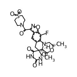 C[C@H]1CN2c3c(cc4c(C(=O)N5CCS(=O)(=O)CC5)noc4c3F)CC3(C(=O)NC(=O)NC3=O)[C@@H]2[C@@H](C)O1